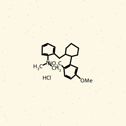 COc1ccc(C(=O)O)c(C2CCCCC2Cc2ccccc2N(C)C)c1.Cl